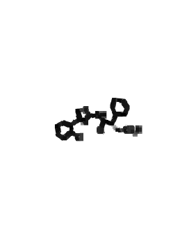 O=C(O)C[C@H](C(=O)Nc1nc(-c2ccccc2Cl)cs1)c1ccccc1